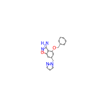 Nc1noc2cc(Cn3cccn3)cc(OCc3ccccc3)c12